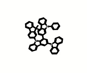 CC1(C)c2ccccc2-c2ccc(-n3c4ccccc4c4cc(-n5c6ccccc6c6ccccc65)cc(-c5ccc6c7ccccc7n(-c7ccccc7)c6c5)c43)cc21